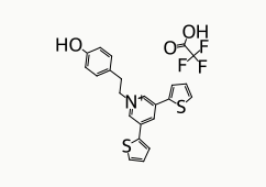 O=C(O)C(F)(F)F.Oc1ccc(CC[n+]2cc(-c3cccs3)cc(-c3cccs3)c2)cc1